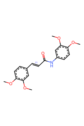 COc1ccc(/C=C/C(=O)Nc2ccc(OC)c(OC)c2)cc1OC